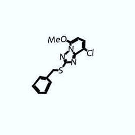 COc1ccc(Cl)c2nc(SCc3ccccc3)nn12